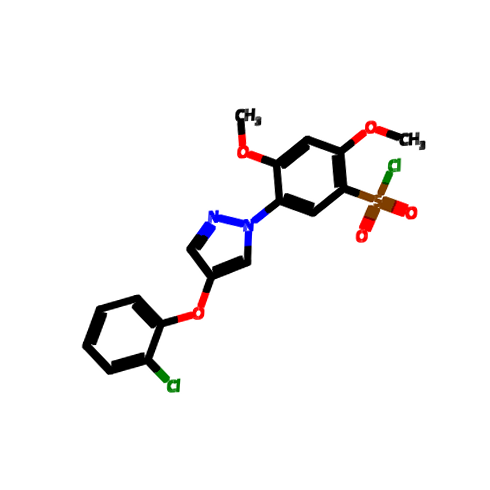 COc1cc(OC)c(S(=O)(=O)Cl)cc1-n1cc(Oc2ccccc2Cl)cn1